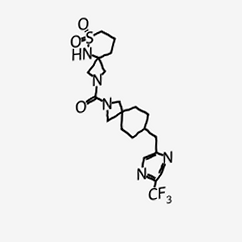 O=C(N1CC2(CCC(Cc3cnc(C(F)(F)F)cn3)CC2)C1)N1CC2(CCCS(=O)(=O)N2)C1